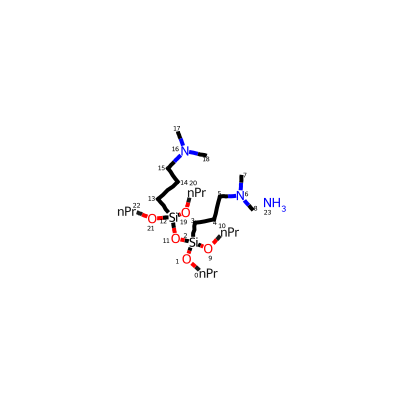 CCCO[Si](CCCN(C)C)(OCCC)O[Si](CCCN(C)C)(OCCC)OCCC.N